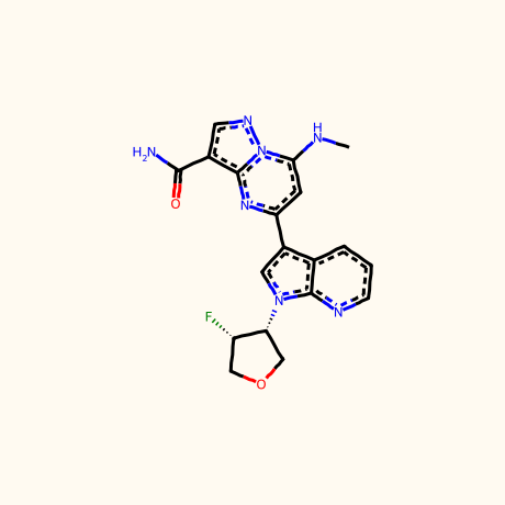 CNc1cc(-c2cn([C@@H]3COC[C@@H]3F)c3ncccc23)nc2c(C(N)=O)cnn12